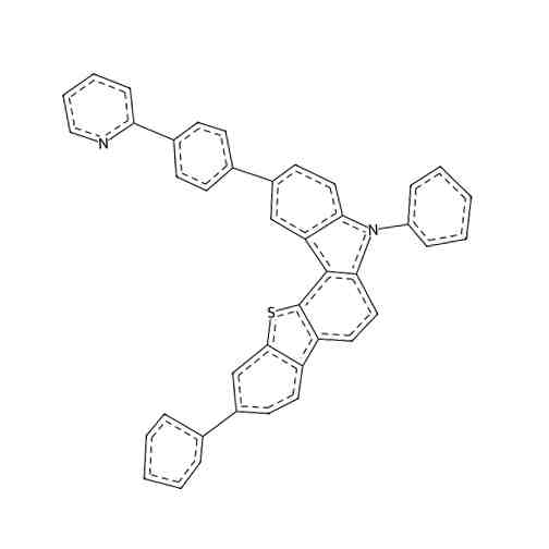 c1ccc(-c2ccc3c(c2)sc2c3ccc3c2c2cc(-c4ccc(-c5ccccn5)cc4)ccc2n3-c2ccccc2)cc1